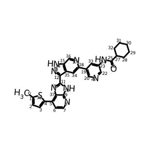 Cc1ccc(-c2ccnc3[nH]c(-c4n[nH]c5cnc(-c6cncc(NC(=O)C7CCCCC7)c6)cc45)nc23)s1